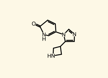 O=c1ccc(-n2cncc2C2CNC2)c[nH]1